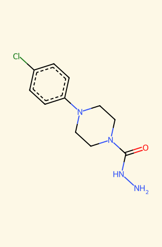 NNC(=O)N1CCN(c2ccc(Cl)cc2)CC1